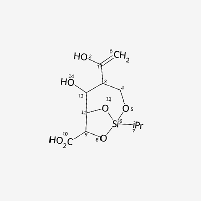 C=C(O)C1CO[Si]2(C(C)C)OC(C(=O)O)C(O2)C1O